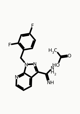 CC(=O)O.N=C(N)c1nn(Cc2ccc(F)cc2F)c2ncccc12